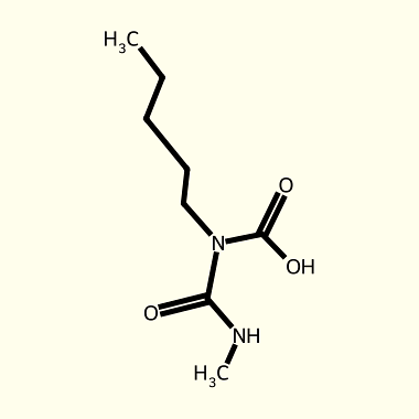 CCCCCN(C(=O)O)C(=O)NC